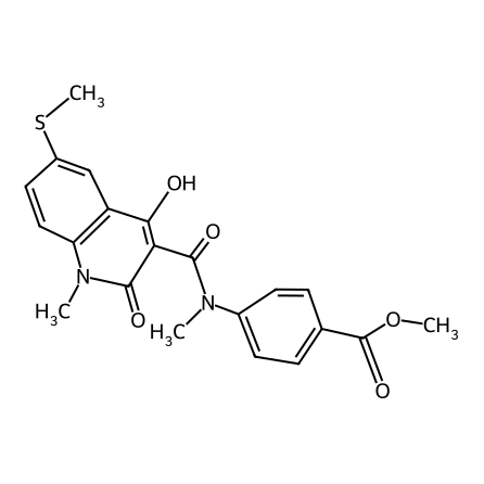 COC(=O)c1ccc(N(C)C(=O)c2c(O)c3cc(SC)ccc3n(C)c2=O)cc1